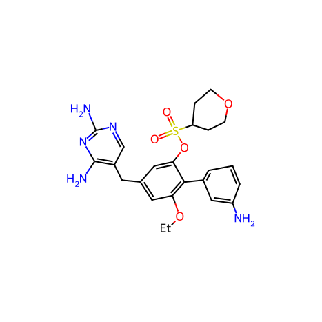 CCOc1cc(Cc2cnc(N)nc2N)cc(OS(=O)(=O)C2CCOCC2)c1-c1cccc(N)c1